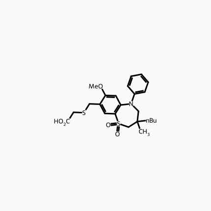 CCCCC1(C)CN(c2ccccc2)c2cc(OC)c(CSCC(=O)O)cc2S(=O)(=O)C1